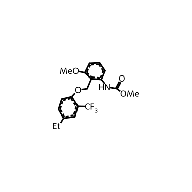 CCc1ccc(OCc2c(NC(=O)OC)cccc2OC)c(C(F)(F)F)c1